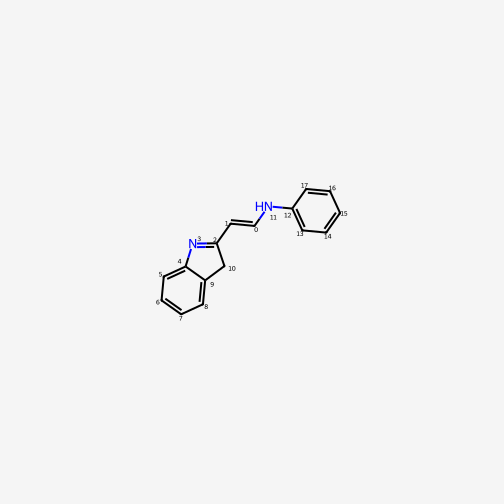 C(=CC1=Nc2ccccc2C1)Nc1ccccc1